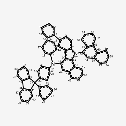 c1ccc(-c2ccc3c(c2)c2c(N(c4ccccc4)c4ccc(C5(c6ccccc6)c6ccccc6-c6ccccc65)cc4)cc4ccccc4c2n3-c2cc3ccccc3c3ccccc23)cc1